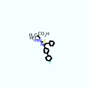 CC(C)(CNc1nc(-c2ccc(-c3ccc(F)cc3)cc2)c(-c2ccccc2)s1)C(=O)O